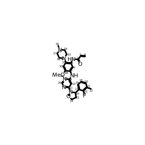 C=CC(=O)Nc1cc(Nc2cc(N3OCCC3c3cccc(C)c3F)ncn2)c(OC)cc1N1CCN(C)CC1